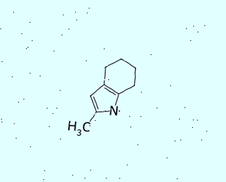 CC1=CC2=C(CCCC2)[N]1